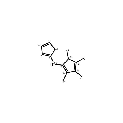 CC1=C(C)C(C)[C]([Hf][C]2=CC=CC2)=C1C